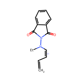 C=C/C=C\N(CC)N1C(=O)c2ccccc2C1=O